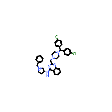 Clc1ccc(C(c2ccc(Cl)cc2)N2CCN(Cc3nc(N[C@@H]4CCN(Cc5ccccc5)C4)c4ccccc4n3)CC2)cc1